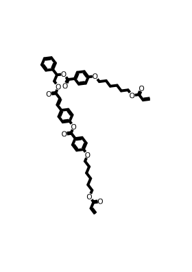 C=CC(=O)OCCCCCCOc1ccc(C(=O)Oc2ccc(C=CC(=O)OCC(OC(=O)c3ccc(OCCCCCCOC(=O)C=C)cc3)c3ccccc3)cc2)cc1